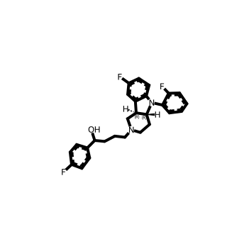 OC(CCCN1CC[C@@H]2[C@@H](C1)c1cc(F)ccc1N2c1ccccc1F)c1ccc(F)cc1